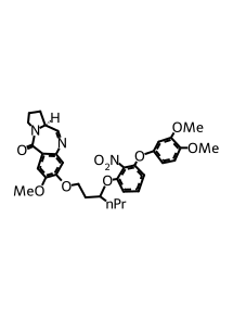 CCCC(CCOc1cc2c(cc1OC)C(=O)N1CCC[C@H]1C=N2)Oc1cccc(Oc2ccc(OC)c(OC)c2)c1[N+](=O)[O-]